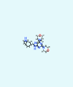 c1cc2ccc(-c3nc4c(N5C6CCC5COC6)nc(N5CCOCC5)nc4[nH]3)cc2[nH]1